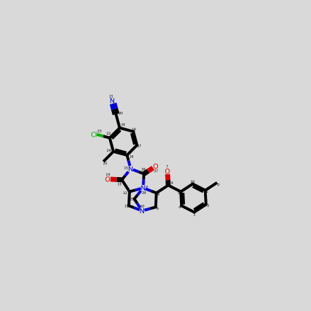 Cc1cccc(C(=O)C2CN3CC4C(=O)N(c5ccc(C#N)c(Cl)c5C)C(=O)[N+]24C3)c1